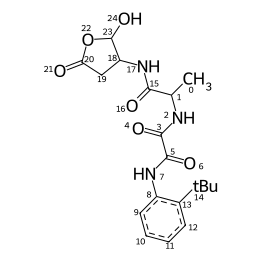 CC(NC(=O)C(=O)Nc1ccccc1C(C)(C)C)C(=O)NC1CC(=O)OC1O